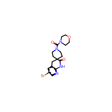 O=C(N1CCOCC1)N1CCC2(CC1)Cc1cc(Br)cnc1NC2=O